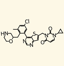 Cc1cc(Cl)cc(-c2ncnc3cc(Cn4c(=O)ccn(C5CC5)c4=O)sc23)c1CC1CNCCO1